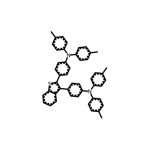 Cc1ccc(N(c2ccc(C)cc2)c2ccc(-c3sc4ccccc4c3-c3ccc(N(c4ccc(C)cc4)c4ccc(C)cc4)cc3)cc2)cc1